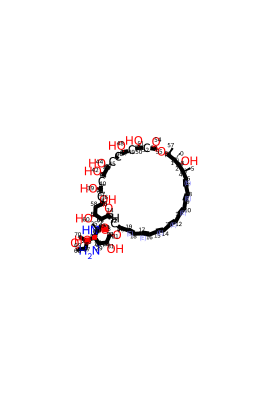 C[C@@H]1[C@H](O)[C@@H](C)/C=C/C=C/C=C/C=C/C=C/C=C/C=C/[C@H](O[C@@H]2O[C@H](C)[C@@H](O)[C@H](N)[C@@H]2O)C[C@@H]2O[C@](O)(C[C@@H](O)C[C@@H](O)[C@H](O)CC[C@@H](O)C[C@@H](O)CC(=O)O[C@H]1C)C[C@H](O)[C@H]2C(=O)NCC1CCOC1